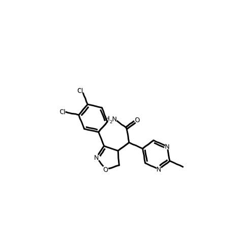 Cc1ncc(C(C(N)=O)C2CON=C2c2ccc(Cl)c(Cl)c2)cn1